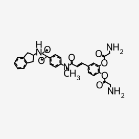 CN(C(=O)C=Cc1ccc(OC(=O)CN)c(OC(=O)CN)c1)c1ccc(S(=O)(=O)NC2Cc3ccccc3C2)cc1